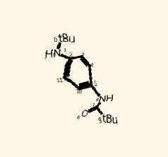 CC(C)(C)Nc1ccc(NC(=O)C(C)(C)C)cc1